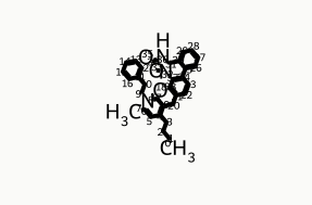 CCCCc1cc(C)n(CCc2ccccc2)c(=O)c1Cc1ccc(-c2ccccc2-c2noc(=O)[nH]2)cc1